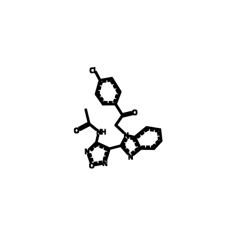 CC(=O)Nc1nonc1-c1nc2ccccc2n1CC(=O)c1ccc(Cl)cc1